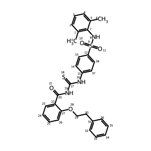 Cc1cccc(C)c1NS(=O)(=O)c1ccc(NC(=S)NC(=O)c2ccccc2OCCc2ccccc2)cc1